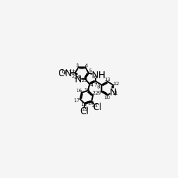 [C-]#[N+]c1ccc2[nH]c(-c3ccncc3)c(-c3ccc(Cl)c(Cl)c3)c2n1